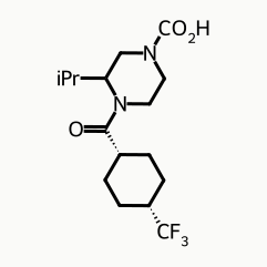 CC(C)C1CN(C(=O)O)CCN1C(=O)[C@H]1CC[C@@H](C(F)(F)F)CC1